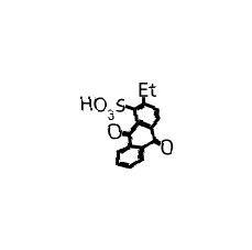 CCc1ccc2c(c1S(=O)(=O)O)C(=O)c1ccccc1C2=O